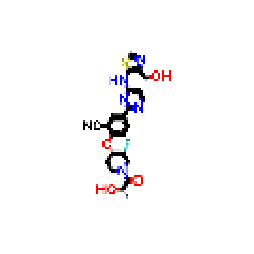 C[C@H](O)C(=O)N1CC[C@H](Oc2ccc(-c3nccc(Nc4scnc4CO)n3)cc2C#N)[C@H](F)C1